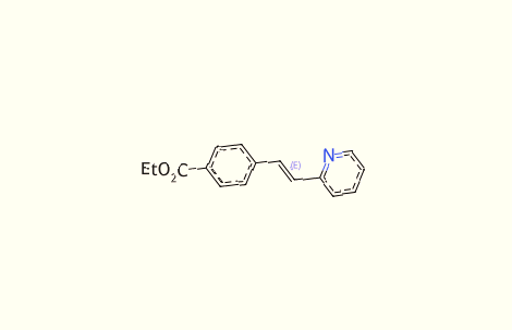 CCOC(=O)c1ccc(/C=C/c2ccccn2)cc1